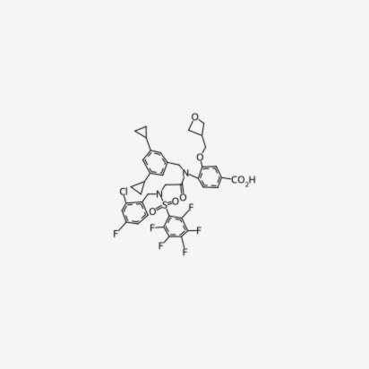 O=C(O)c1ccc(N(Cc2cc(C3CC3)cc(C3CC3)c2)C(=O)CN(Cc2ccc(F)cc2Cl)S(=O)(=O)c2c(F)c(F)c(F)c(F)c2F)c(OCC2COC2)c1